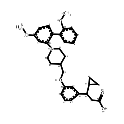 COc1ccc(-c2ccccc2OC)c(N2CCC(COc3cccc(C(CC(=O)O)C4CC4)c3)CC2)c1